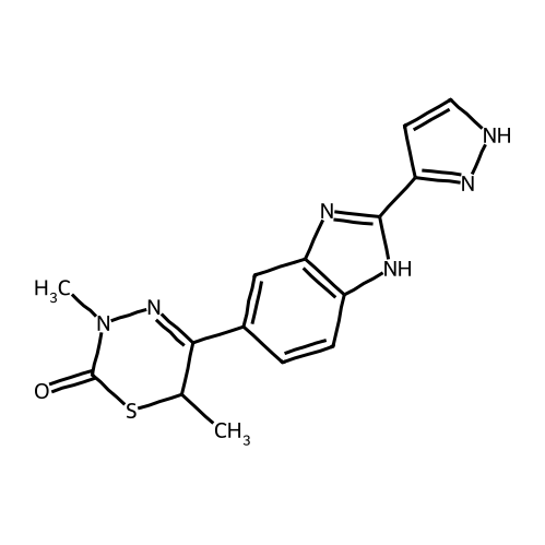 CC1SC(=O)N(C)N=C1c1ccc2[nH]c(-c3cc[nH]n3)nc2c1